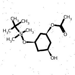 CC(=O)O[C@H]1C[C@@H](O)C[C@@H](O[Si](C)(C)C(C)(C)C)C1